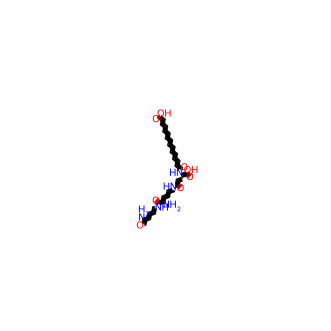 N[C@H](C=O)CCCCNC(=O)[C@@H](N)CCCCNC(=O)CC[C@H](NC(=O)CCCCCCCCCCCCCCC(=O)O)C(=O)O